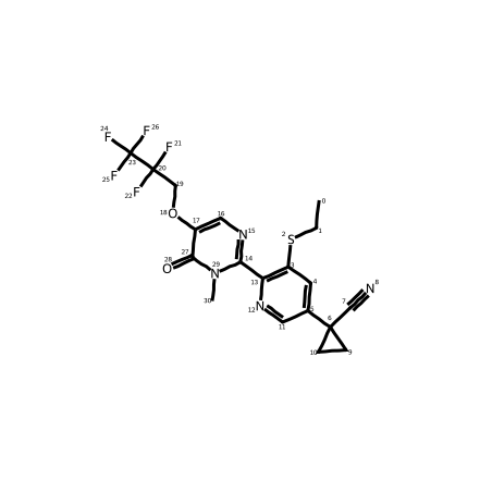 CCSc1cc(C2(C#N)CC2)cnc1-c1ncc(OCC(F)(F)C(F)(F)F)c(=O)n1C